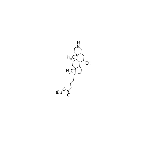 CC(C)(C)OC(=O)CCCCC1CCC2C3C(O)CC4CNCCC4(C)C3CCC12C